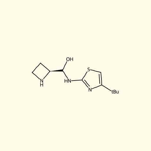 CC(C)(C)c1csc(NC(O)[C@@H]2CCN2)n1